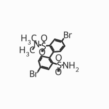 CN(C)S(=O)(=O)c1cc(Br)ccc1-c1ccc(Br)cc1S(N)(=O)=O